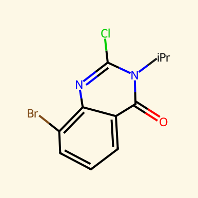 CC(C)n1c(Cl)nc2c(Br)cccc2c1=O